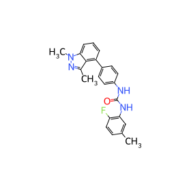 Cc1ccc(F)c(NC(=O)Nc2ccc(-c3cccc4c3c(C)nn4C)cc2)c1